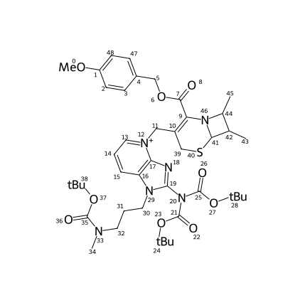 COc1ccc(COC(=O)C2=C(C[n+]3cccc4c3nc(N(C(=O)OC(C)(C)C)C(=O)OC(C)(C)C)n4CCCN(C)C(=O)OC(C)(C)C)CSC3C(C)C(C)N23)cc1